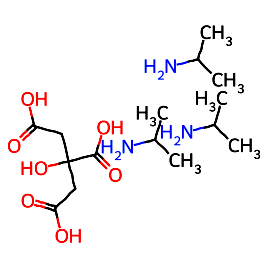 CC(C)N.CC(C)N.CC(C)N.O=C(O)CC(O)(CC(=O)O)C(=O)O